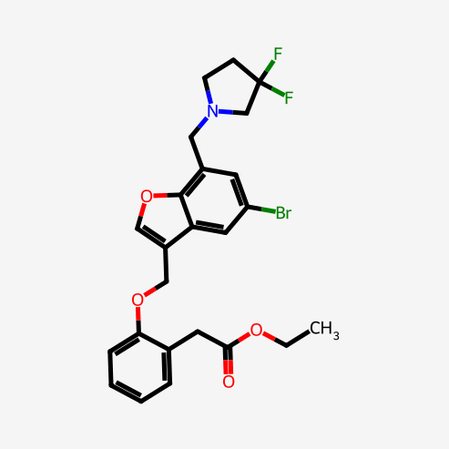 CCOC(=O)Cc1ccccc1OCc1coc2c(CN3CCC(F)(F)C3)cc(Br)cc12